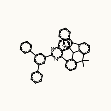 CC1(C)c2cccc(-c3nc(-c4cc(-c5ccccc5)cc(-c5ccccc5)c4)nc4ccccc34)c2C2c3sc4ccccc4c3-c3cccc1c32